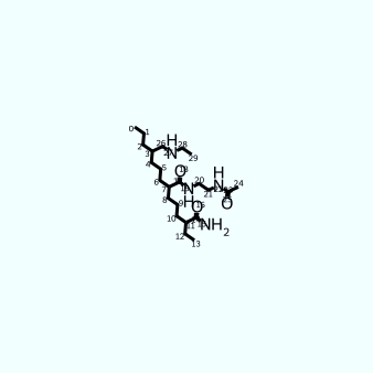 CCCC(CCCC(CCCC(CC)C(N)=O)C(=O)NCCNC(C)=O)CNCC